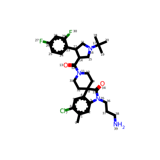 Cc1cc2c(cc1Cl)C1(CCN(C(=O)C3CN(C(C)(C)C)CC3c3ccc(F)cc3F)CC1)C(=O)N2CCCN